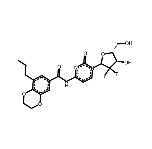 CCCc1cc(C(=O)Nc2ccn(C3O[C@H](CO)[C@@H](O)C3(F)I)c(=O)n2)cc2c1OCCO2